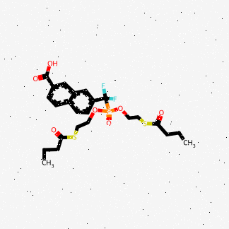 CCCC(=O)SCCOP(=O)(OCCSC(=O)CCC)C(F)(F)c1ccc2ccc(C(=O)O)cc2c1